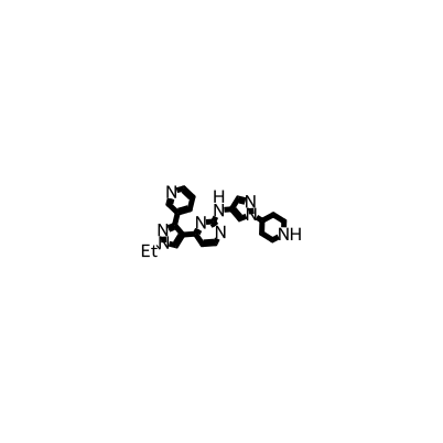 CCn1cc(-c2ccnc(Nc3cnn(C4CCNCC4)c3)n2)c(-c2cccnc2)n1